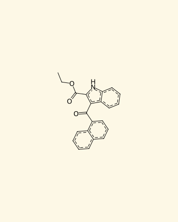 CCOC(=O)c1[nH]c2ccccc2c1C(=O)c1cccc2ccccc12